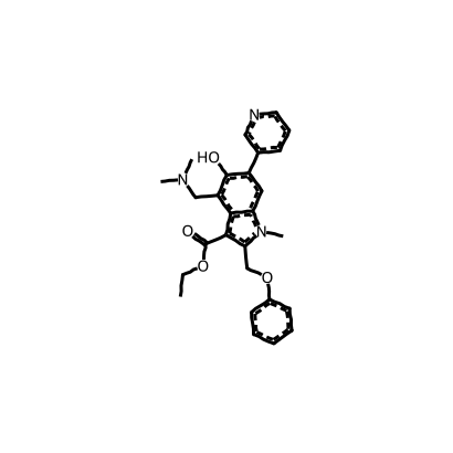 CCOC(=O)c1c(COc2ccccc2)n(C)c2cc(-c3cccnc3)c(O)c(CN(C)C)c12